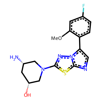 COc1cc(F)ccc1-c1cnc2sc(N3C[C@@H](N)C[C@@H](O)C3)nn12